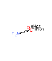 CCCCCCCCCC(CCCCCC)OC(=O)CCCCCN